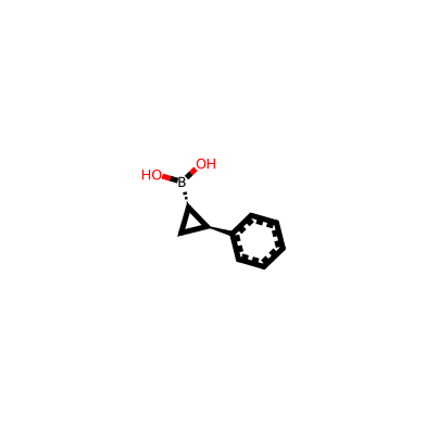 OB(O)[C@H]1C[C@@H]1c1ccccc1